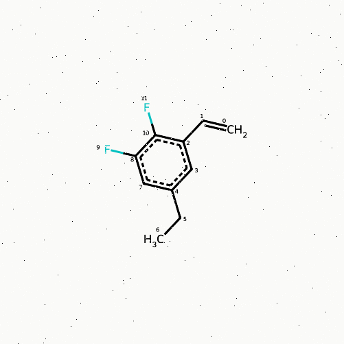 C=Cc1cc(CC)cc(F)c1F